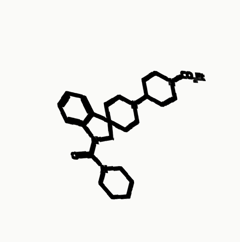 CCOC(=O)N1CCC(N2CCC3(CC2)CN(C(=O)N2CCCCC2)c2ccccc23)CC1